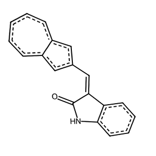 O=C1Nc2ccccc2C1=Cc1cc2cccccc-2c1